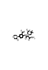 CC(C)(C)CN(CC(F)F)[C@@H](C(N)=O)C(=O)Nc1ccc(N2CCOCC2=O)cc1C(F)F